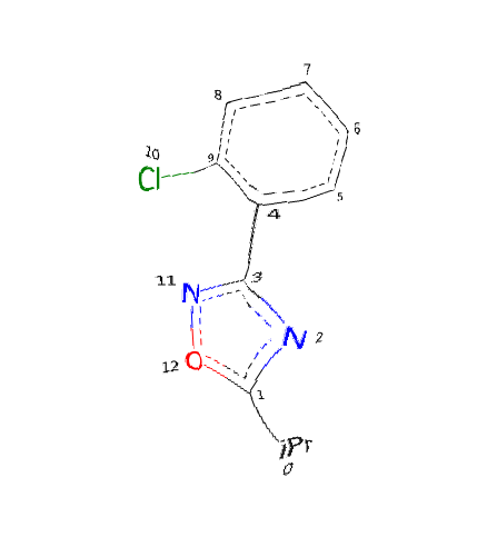 CC(C)c1nc(-c2ccccc2Cl)no1